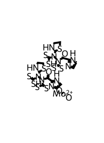 O=C(c1ncc[nH]1)N(C(=S)[S-])N(C(=S)S)C1NCCS1.O=C(c1ncc[nH]1)N(C(=S)[S-])N(C(=S)S)C1NCCS1.[O]=[Mo+2]=[O]